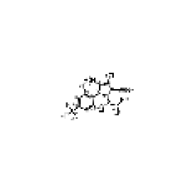 N#CC1C(Cl)=C(N)N(c2c(F)cc(C(F)(F)F)cc2Cl)N1SC(F)F